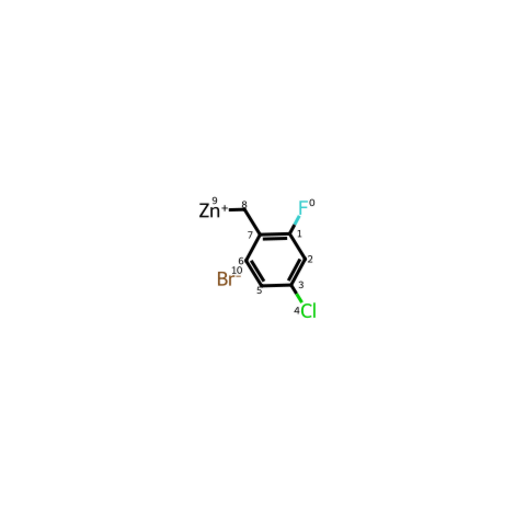 Fc1cc(Cl)ccc1[CH2][Zn+].[Br-]